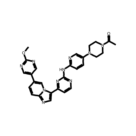 COc1ncc(-c2ccc3ncc(-c4ccnc(Nc5ccc(N6CCN(C(C)=O)CC6)cn5)n4)n3c2)cn1